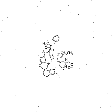 CC/C=C/[C@](CN1CCN2CCOC[C@@H]2C1)(OC)[C@@H]1CC[C@H]1CN1C[C@@]2(CCCc3cc(Cl)ccc32)COc2ccc(C(=O)NS(=O)(=O)[C@@H](C)Cc3ccccc3)cc21